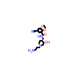 N#Cc1cc2c(c(C(=O)NC[C@@H]3CCN(CCCN)C[C@H]3O)c1)OCCO2